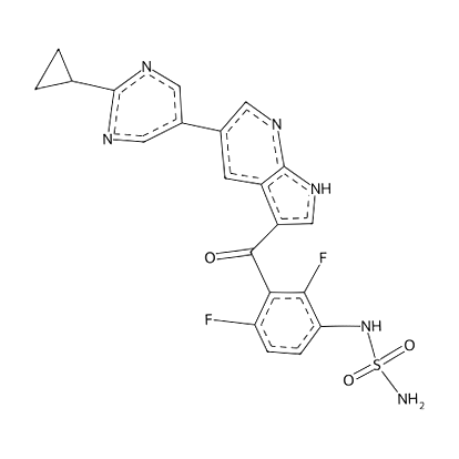 NS(=O)(=O)Nc1ccc(F)c(C(=O)c2c[nH]c3ncc(-c4cnc(C5CC5)nc4)cc23)c1F